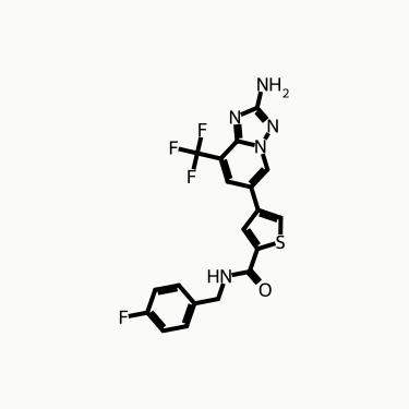 Nc1nc2c(C(F)(F)F)cc(-c3csc(C(=O)NCc4ccc(F)cc4)c3)cn2n1